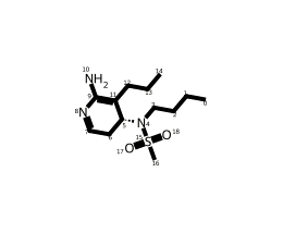 CCCCN([C@@H]1CC=NC(N)=C1CCC)S(C)(=O)=O